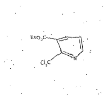 CCOC(=O)c1cccnc1C(Cl)(Cl)Cl